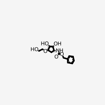 O=C(N[C@@H]1C[C@H](OCCO)[C@@H](O)[C@H]1O)OCc1ccccc1